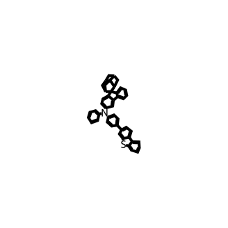 c1ccc(N(c2ccc(-c3ccc4c(c3)sc3ccccc34)cc2)c2ccc3c(c2)-c2ccccc2C32C3CC4CC(C3)CC2C4)cc1